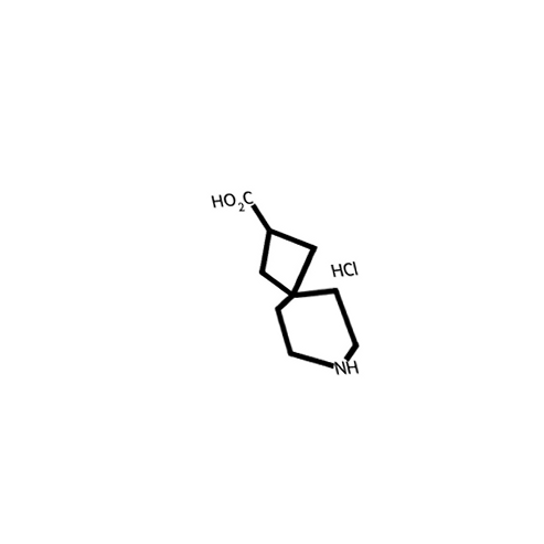 Cl.O=C(O)C1CC2(CCNCC2)C1